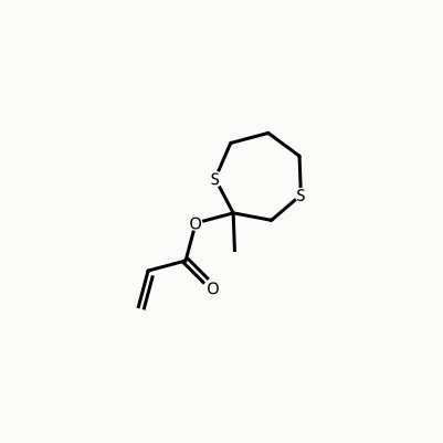 C=CC(=O)OC1(C)CSCCCS1